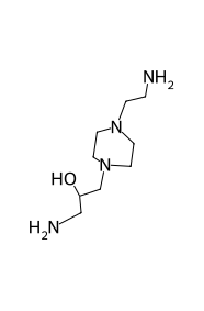 NCCN1CCN(CC(O)CN)CC1